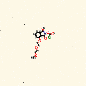 CCOCCOCCOc1cccc2c1C(=O)N(OC(=O)Cl)C2=O